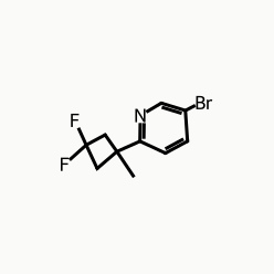 CC1(c2ccc(Br)cn2)CC(F)(F)C1